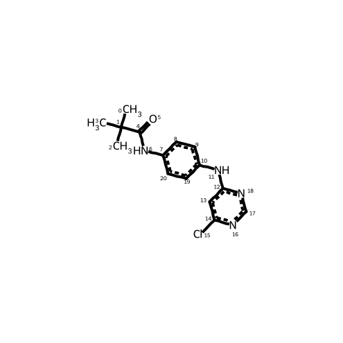 CC(C)(C)C(=O)Nc1ccc(Nc2cc(Cl)ncn2)cc1